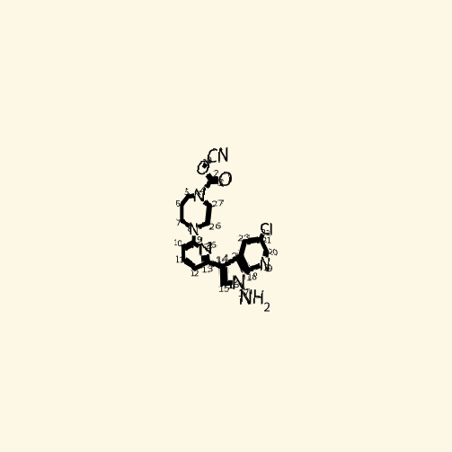 N#COC(=O)N1CCCN(c2cccc(-c3cn(N)c4ncc(Cl)cc34)n2)CC1